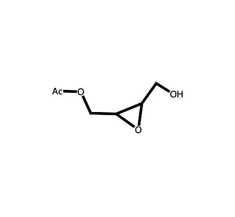 CC(=O)OCC1OC1CO